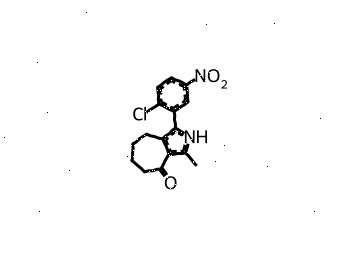 Cc1[nH]c(-c2cc([N+](=O)[O-])ccc2Cl)c2c1C(=O)CCCC2